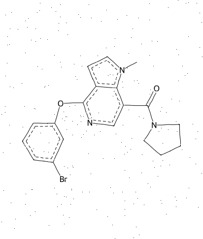 Cn1ccc2c(Oc3cccc(Br)c3)ncc(C(=O)N3CCCC3)c21